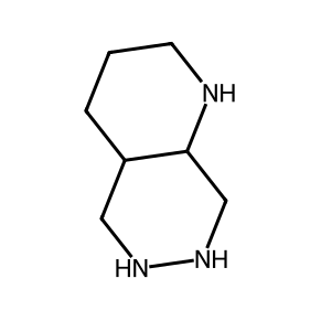 C1CNC2CNNCC2C1